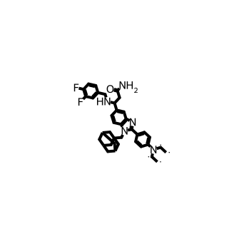 [CH2][CH]N([CH][CH2])c1ccc(-c2nc3cc(C(CC(N)=O)NCc4ccc(F)c(F)c4)ccc3n2CC23CC4CC(CC(C4)C2)C3)cc1